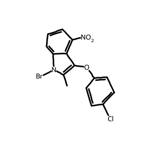 Cc1c(Oc2ccc(Cl)cc2)c2c([N+](=O)[O-])cccc2n1Br